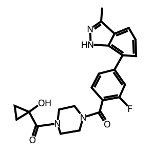 Cc1n[nH]c2c(-c3ccc(C(=O)N4CCN(C(=O)C5(O)CC5)CC4)c(F)c3)cccc12